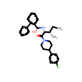 CC[C@H](C)[C@@H](N[C@H](O)c1ccccc1-c1ccccc1)C(=O)N1CCC(c2ccc(Cl)cc2)CC1